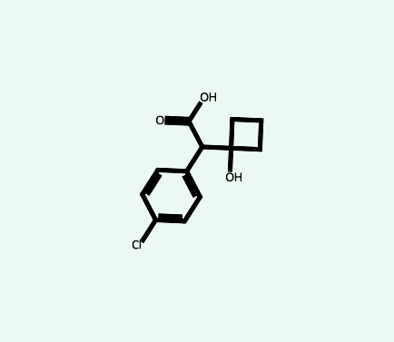 O=C(O)C(c1ccc(Cl)cc1)C1(O)CCC1